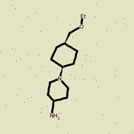 CCOC[C@H]1CC[C@@H](N2CCC(N)CC2)CC1